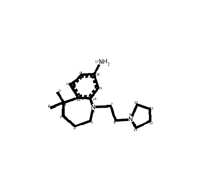 CC1(C)CCCN(CCN2CCCC2)c2cc(N)ccc21